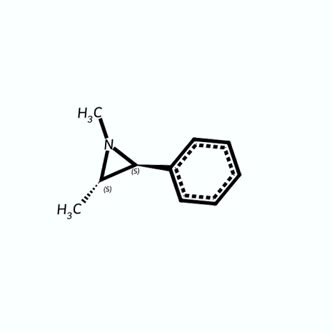 C[C@H]1[C@H](c2ccccc2)N1C